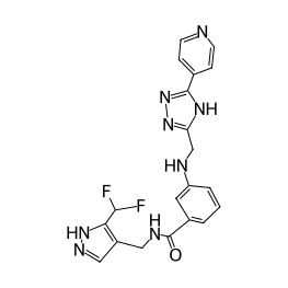 O=C(NCc1cn[nH]c1C(F)F)c1cccc(NCc2nnc(-c3ccncc3)[nH]2)c1